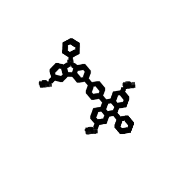 CC(C)(C)c1ccc2c(-c3ccc(-c4ccc5c(c4)c4cc(C(C)(C)C)ccc4n5-c4ccccc4)cc3)c3cc(C(C)(C)C)ccc3c(-c3ccccc3)c2c1